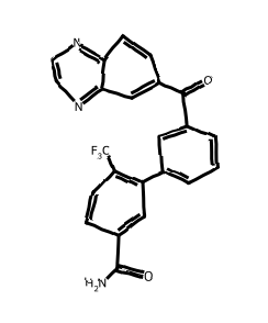 NC(=O)c1ccc(C(F)(F)F)c(-c2cccc(C(=O)c3ccc4nccnc4c3)c2)c1